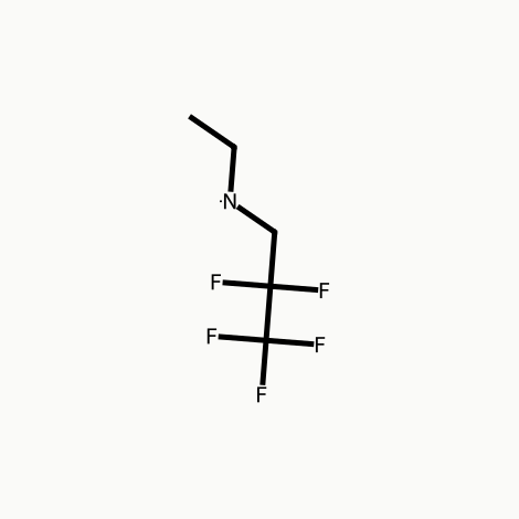 CC[N]CC(F)(F)C(F)(F)F